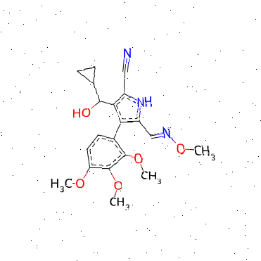 CO/N=C/c1[nH]c(C#N)c(C(O)C2CC2)c1-c1ccc(OC)c(OC)c1OC